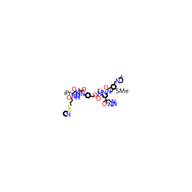 CCN(C(=O)OCc1ccc(NC(=O)[C@H](C)NC(=O)[C@@H](NC(=O)CCCSSc2ccccn2)C(C)C)cc1)c1cc(C2(Cc3nncn3C)COC2)cc(N2Cc3c(SC)cc(CN4CCC[C@H](C)C4)cc3C2=O)n1